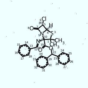 CC1(C)S[C@@H]2[C@H](Cl)C(=O)N2[C@@]1(N=Cc1ccccc1)C(=O)OC(c1ccccc1)c1ccccc1